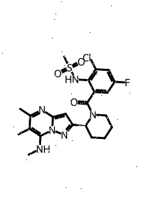 CNc1c(C)c(C)nc2cc([C@@H]3CCCCN3C(=O)c3cc(F)cc(Cl)c3NS(C)(=O)=O)nn12